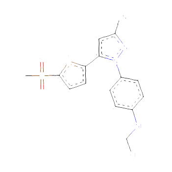 CS(=O)(=O)c1ccc(-c2cc(C#N)nn2-c2ccc(NCC=O)cc2)s1